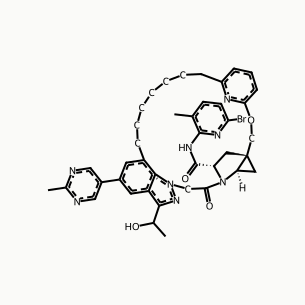 Cc1ncc(-c2cc3c4c(c2)c(C(C)O)nn4CC(=O)N2[C@H](C(=O)Nc4nc(Br)ccc4C)C[C@@]4(COc5cccc(n5)CCCCCCC3)C[C@@H]24)cn1